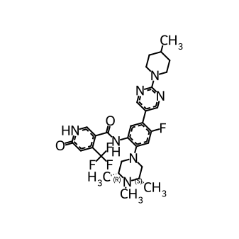 CC1CCN(c2ncc(-c3cc(NC(=O)c4c[nH]c(=O)cc4C(F)(F)F)c(N4C[C@@H](C)N(C)[C@@H](C)C4)cc3F)cn2)CC1